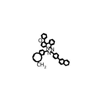 C=C1/C=C\C=C/Cc2ccc(-c3nc(-c4ccc(-c5ccc6c(c5)C=CCC6)cc4)nc(-c4ccccc4-c4cccc5oc6ccccc6c45)n3)cc2CC1